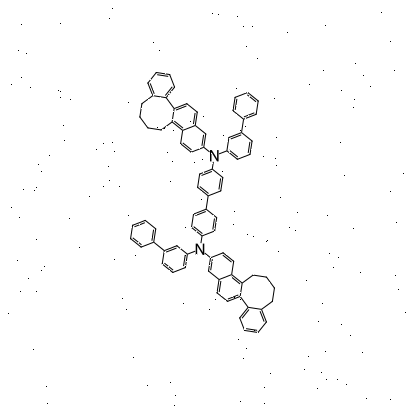 c1ccc(-c2cccc(N(c3ccc(-c4ccc(N(c5cccc(-c6ccccc6)c5)c5ccc6c7c(ccc6c5)-c5ccccc5CCCC7)cc4)cc3)c3ccc4c5c(ccc4c3)-c3ccccc3CCCC5)c2)cc1